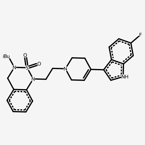 CCC(C)N1Cc2ccccc2N(CCN2CC=C(c3c[nH]c4cc(F)ccc34)CC2)S1(=O)=O